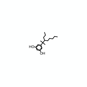 CCCCCC(CCC)C(C)(C)c1cc(O)cc(O)c1